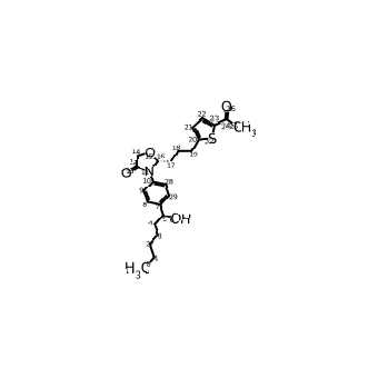 CCCCC[C@H](O)c1ccc(N2C(=O)CO[C@@H]2CCCc2ccc(C(C)=O)s2)cc1